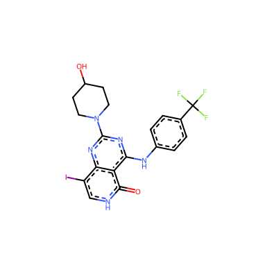 O=c1[nH]cc(I)c2nc(N3CCC(O)CC3)nc(Nc3ccc(C(F)(F)F)cc3)c12